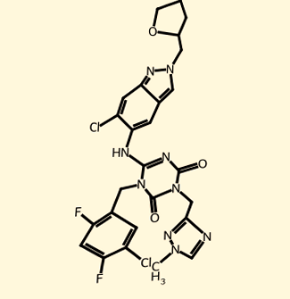 Cn1cnc(Cn2c(=O)nc(Nc3cc4cn(CC5CCCO5)nc4cc3Cl)n(Cc3cc(Cl)c(F)cc3F)c2=O)n1